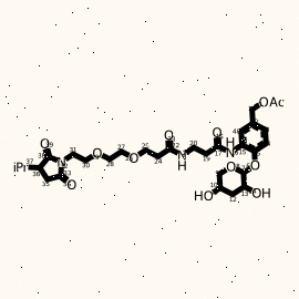 CC(=O)OCc1ccc(OC2OCC(O)CC2O)c(NC(=O)CCNC(=O)CCOCCOCCN2C(=O)CC(C(C)C)C2=O)c1